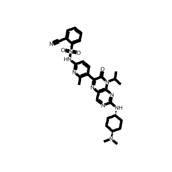 Cc1nc(NS(=O)(=O)c2ccccc2C#N)ccc1-c1nc2cnc(N[C@H]3CC[C@H](N(C)C)CC3)nc2n(C(C)C)c1=O